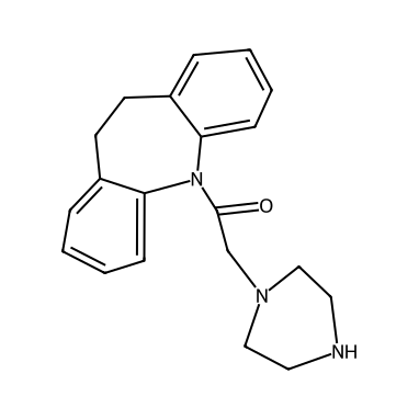 O=C(CN1CCNCC1)N1c2ccccc2CCc2ccccc21